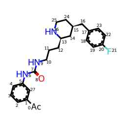 CC(=O)c1cccc(NC(=O)NCCC[C@@H]2C[C@H](Cc3ccc(F)cc3)CCN2)c1